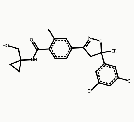 Cc1cc(C2=NOC(c3cc(Cl)cc(Cl)c3)(C(F)(F)F)C2)ccc1C(=O)NC1(CO)CC1